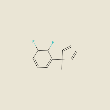 C=CC(C)(C=C)c1cccc(F)c1F